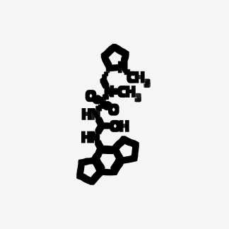 CN1CCC[C@H]1CN(C)S(=O)(=O)NC(O)Nc1c2c(cc3c1CCC3)CCC2